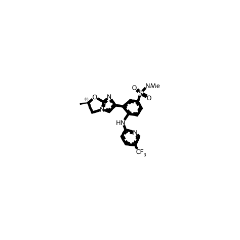 CNS(=O)(=O)c1ccc(Nc2ccc(C(F)(F)F)cn2)c(-c2cn3c(n2)O[C@H](C)C3)c1